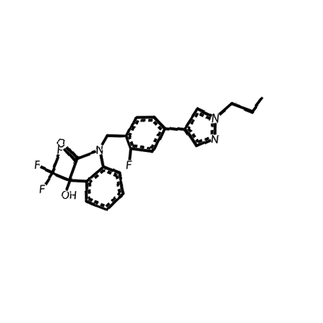 CCCn1cc(-c2ccc(CN3C(=O)C(O)(C(F)(F)F)c4ccccc43)c(F)c2)cn1